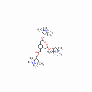 CC1(C)CC(COC(=O)CC2CCC(CC(=O)OCC3CC(C)(C)NC3(C)C)C(CC(=O)OCC3CC(C)(C)NC3(C)C)C2)C(C)(C)N1